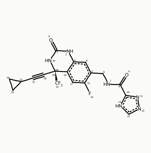 O=C1Nc2cc(CNC(=O)c3nnc[nH]3)c(F)cc2[C@@](C#CC2CC2)(C(F)(F)F)N1